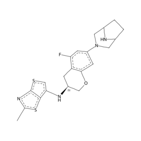 Cc1nc2scc(N[C@@H]3COc4cc(N5CC6CCC(C5)N6)cc(F)c4C3)c2s1